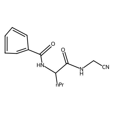 CCCC(NC(=O)c1ccccc1)C(=O)NCC#N